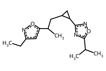 CCc1cc(C(C)CC2CC2c2noc(C(C)C)n2)on1